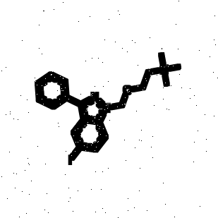 C[Si](C)(C)CCOCn1nc(-c2ccccc2)c2cc(I)ccc21